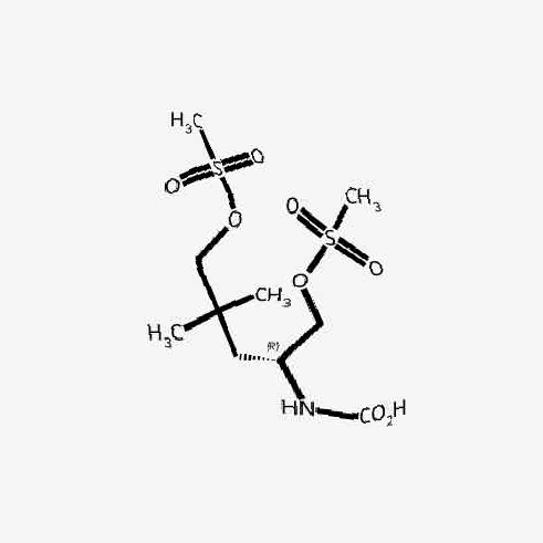 CC(C)(COS(C)(=O)=O)C[C@H](COS(C)(=O)=O)NC(=O)O